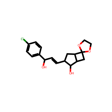 OC(C=CC1CC2C(CC23OCCO3)C1O)c1ccc(Cl)cc1